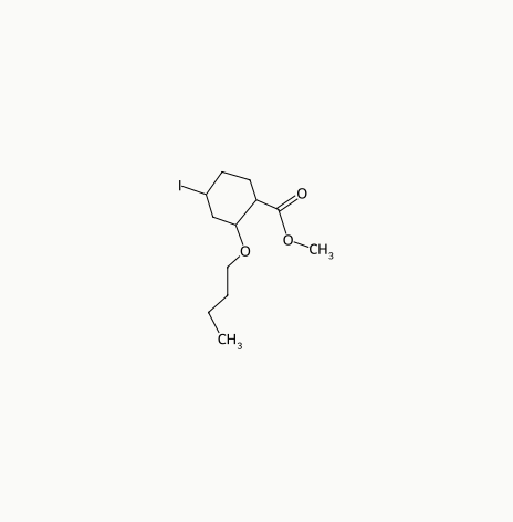 CCCCOC1CC(I)CCC1C(=O)OC